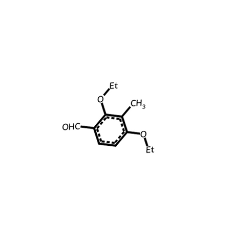 CCOc1ccc(C=O)c(OCC)c1C